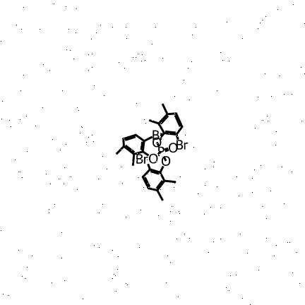 Cc1ccc(Br)c(OP(=O)(Oc2c(Br)ccc(C)c2C)Oc2c(Br)ccc(C)c2C)c1C